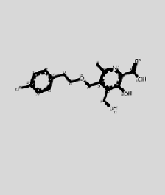 Cc1nc(C(=O)O)c(O)c(CO)c1COCCc1ccc(F)cc1